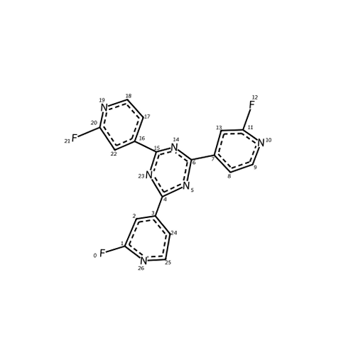 Fc1cc(-c2nc(-c3ccnc(F)c3)nc(-c3ccnc(F)c3)n2)ccn1